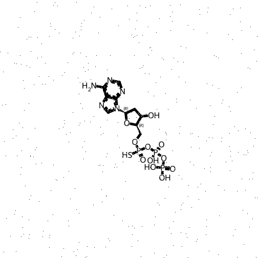 Nc1ncnc2c1ncn2[C@H]1CC(O)[C@@H](COP(=O)(S)OP(=O)(O)OP(=O)(O)O)O1